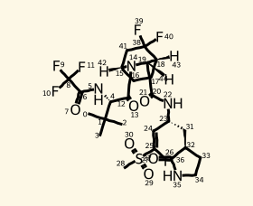 CC(C)(C)[C@H](NC(=O)C(F)(F)F)C(=O)N1[C@@H]2CC[C@H]([C@@H]1C(=O)N[C@@H](/C=C(\F)S(C)(=O)=O)C[C@H]1CCNC1=O)C(F)(F)C2